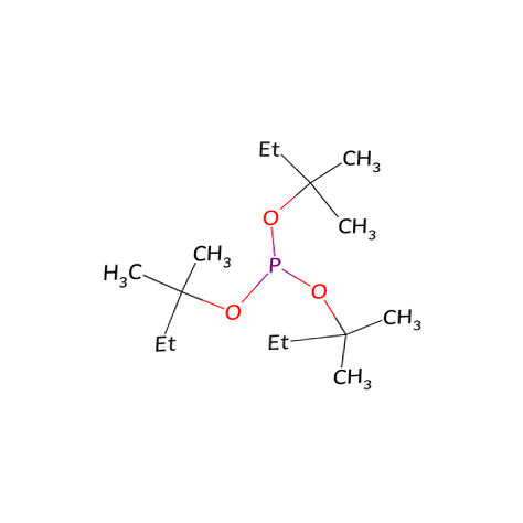 CCC(C)(C)OP(OC(C)(C)CC)OC(C)(C)CC